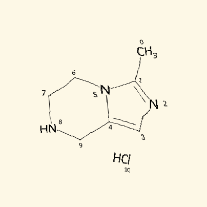 Cc1ncc2n1CCNC2.Cl